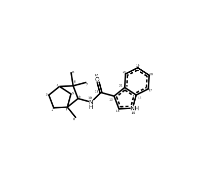 CC12CCC(C1)C(C)(C)C2NC(=O)c1c[nH]c2ccccc12